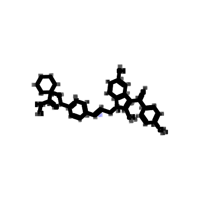 CCNC(=O)C1(OCc2ccc(/C=C/Cn3c(C)c(C(=O)c4ccc(C)cc4)c4cc(O)ccc43)cn2)CCCCC1